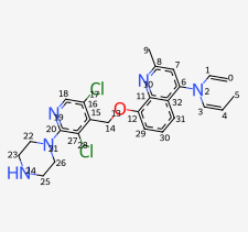 C=CN(/C=C\C)c1cc(C)nc2c(OCc3c(Cl)cnc(N4CCNCC4)c3Cl)cccc12